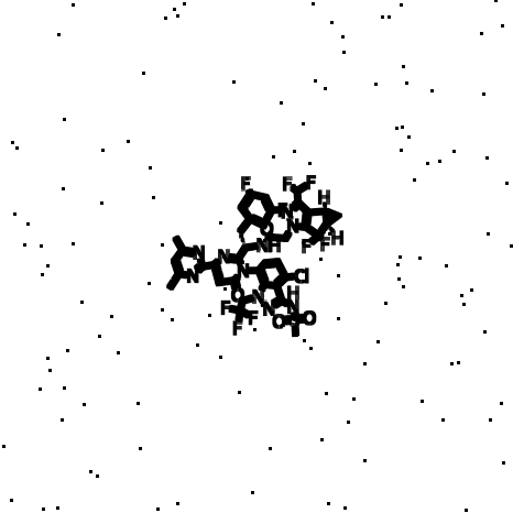 Cc1cc(C)nc(-c2cc(=O)n(-c3ccc(Cl)c4c(NS(C)(=O)=O)nn(CC(F)(F)F)c34)c([C@H](Cc3cc(F)cc(F)c3)NC(=O)Cn3nc(C(F)F)c4c3C(F)(F)[C@@H]3C[C@H]43)n2)n1